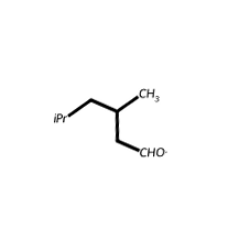 CC(C)CC(C)C[C]=O